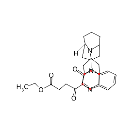 CCOC(=O)CCC(=O)c1nc2ccccc2n(C2CC3CCC[C@H](C2)N3C2CC3CCCC(C3)C2)c1=O